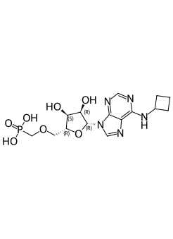 O=P(O)(O)COC[C@H]1O[C@@H](n2cnc3c(NC4CCC4)ncnc32)[C@H](O)[C@@H]1O